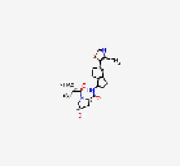 CC(=O)N[C@H](C(=O)N1C[C@H](O)C[C@H]1C(=O)NC1CCc2cc(-c3scnc3C)ccc21)C(C)(C)C